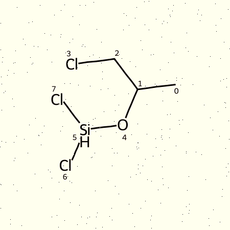 CC(CCl)O[SiH](Cl)Cl